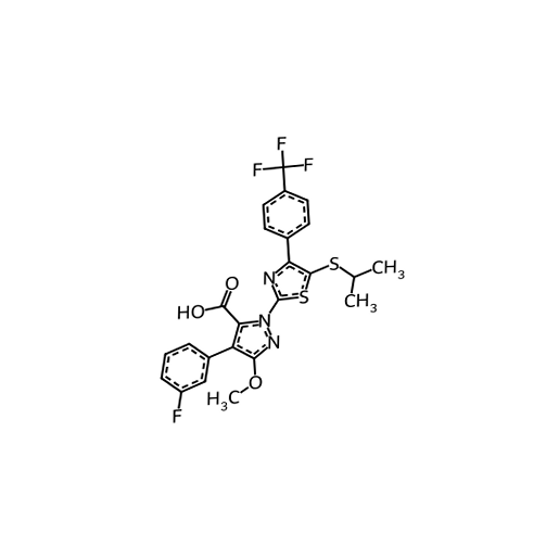 COc1nn(-c2nc(-c3ccc(C(F)(F)F)cc3)c(SC(C)C)s2)c(C(=O)O)c1-c1cccc(F)c1